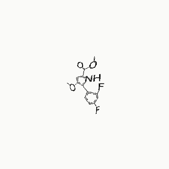 COC(=O)c1cc(OC)c(-c2ccc(F)cc2F)[nH]1